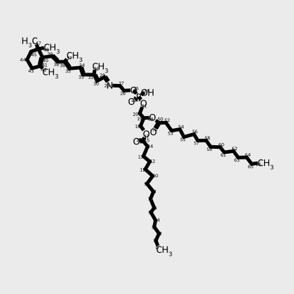 CCCCCCCCCCCCCCCC(=O)OCC(COP(=O)(O)OCC/N=C/C=C(C)/C=C/C=C(C)/C=C/C1=C(C)CCCC1(C)C)OC(=O)CCCCCCCCCCCCCCC